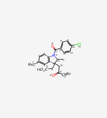 COc1ccc2c(c1)C(CC(=O)O)(CC(=O)OCC(C)C)C(C)N2C(=O)c1ccc(Cl)cc1